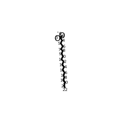 [CH2]OC(=O)CCCCCCCCCCCCCCCCCCC